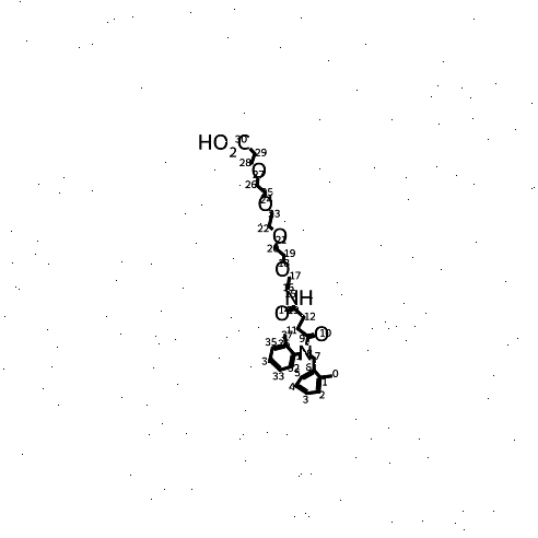 Cc1ccccc1CN(C(=O)CCC(=O)NCCOCCOCCOCCOCCC(=O)O)c1ccccc1C